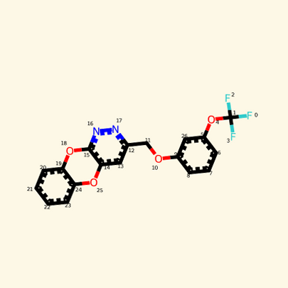 FC(F)(F)Oc1cccc(OCc2cc3c(nn2)Oc2ccccc2O3)c1